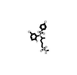 CNS(=O)(=O)CCCC(C)N(c1cc(Cl)ccc1F)S(=O)(=O)c1ccc(Cl)cc1